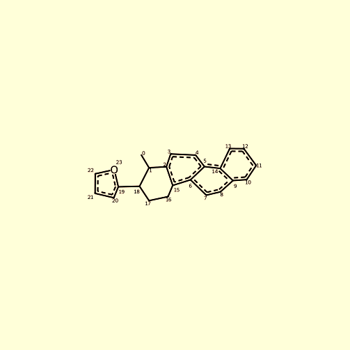 CC1c2ccc3c(ccc4ccccc43)c2CCC1c1ccco1